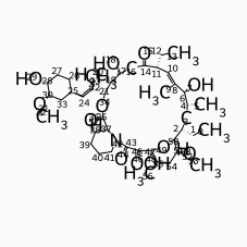 CC[C@H]1C[C@@H](C)[C@H](O)/C(C)=C/[C@@H](CC)C(=O)C[C@H](O)[C@@H](C)[C@@H](/C(C)=C/[C@@H]2CC[C@@H](O)[C@H](OC)C2)OC(=O)[C@@H]2CCCCN2C(=O)C(=O)[C@]2(O)O[C@H]1[C@@H](OC)C[C@H]2C